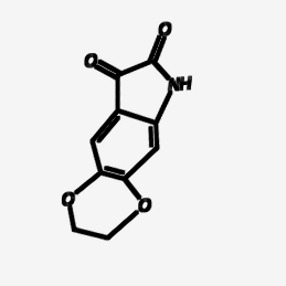 O=C1Nc2cc3c(cc2C1=O)OCCO3